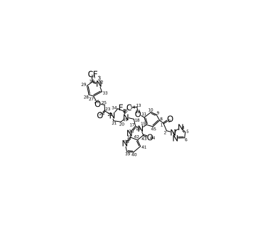 O=C(Cn1nccn1)c1ccc(OCC(F)(F)F)c(-n2c(CN3CCN(C(=O)COc4ccc(C(F)(F)F)nc4)CC3)nc3ncccc3c2=O)c1